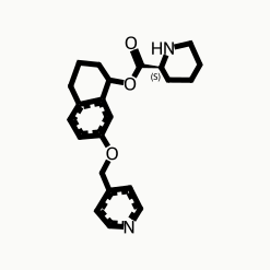 O=C(OC1CCCc2ccc(OCc3ccncc3)cc21)[C@@H]1CCCCN1